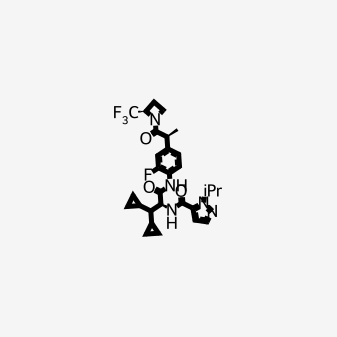 CC(C)n1nccc1C(=O)N[C@H](C(=O)Nc1ccc([C@H](C)C(=O)N2CC[C@H]2C(F)(F)F)cc1F)C(C1CC1)C1CC1